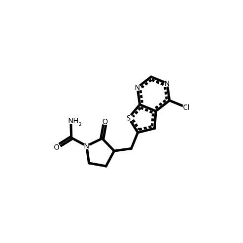 NC(=O)N1CC[C](Cc2cc3c(Cl)ncnc3s2)C1=O